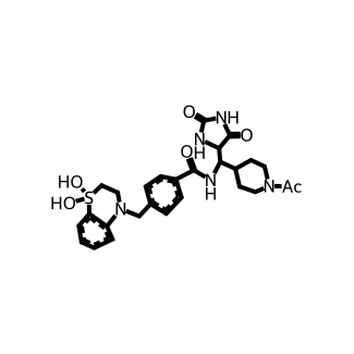 CC(=O)N1CCC(C(NC(=O)c2ccc(CN3CCS(O)(O)c4ccccc43)cc2)C2NC(=O)NC2=O)CC1